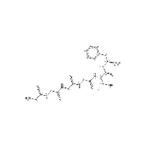 C[C@@H](O)[C@H](NC(=O)CNC(=O)CNC(=O)CNC(=O)CN)C(=O)N[C@@H](Cc1ccccc1)C(=O)O